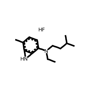 CCN(CCC(C)C)c1ccc(C)c2c1N2.F